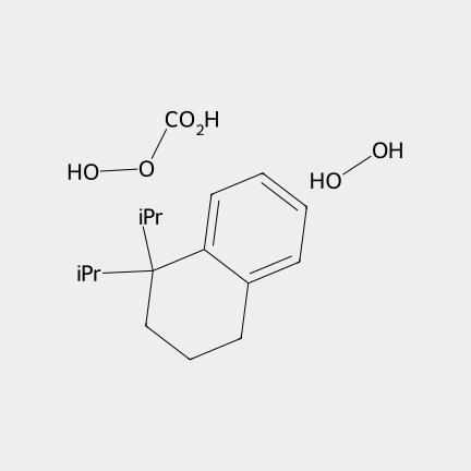 CC(C)C1(C(C)C)CCCc2ccccc21.O=C(O)OO.OO